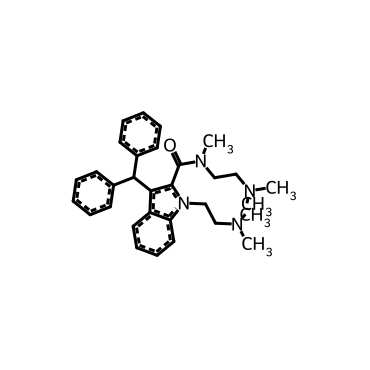 CN(C)CCN(C)C(=O)c1c(C(c2ccccc2)c2ccccc2)c2ccccc2n1CCN(C)C